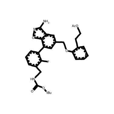 CC(=O)OCCc1ccccc1OCc1cc(-c2cccc(CNC(=O)OC(C)(C)C)c2F)c2onc(N)c2c1